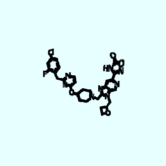 O=c1[nH]c(-c2cc3nc(CN4CCC(Oc5ccnc(Cc6ccc(Cl)cc6F)n5)CC4)n(C[C@@H]4CCO4)c3cn2)no1